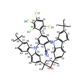 CC(C)(C)c1ccc2c3ccc(C(C)(C)C)cc3n(-c3cc(-c4c(F)cc(F)c(F)c4F)cc(-n4c5cc(C(C)(C)C)ccc5c5ccc(C(C)(C)C)cc54)c3C#N)c2c1